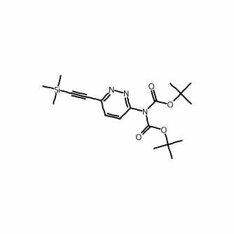 CC(C)(C)OC(=O)N(C(=O)OC(C)(C)C)c1ccc(C#C[Si](C)(C)C)nn1